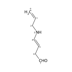 C=CCNC=CCC=O